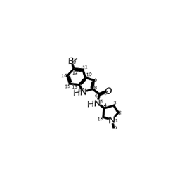 CN1CCC(NC(=O)c2cc3cc(Br)ccc3[nH]2)C1